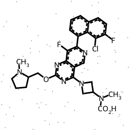 CN1CCCC1COc1nc(N2CC(N(C)C(=O)O)C2)c2cnc(-c3cccc4ccc(F)c(Cl)c34)c(F)c2n1